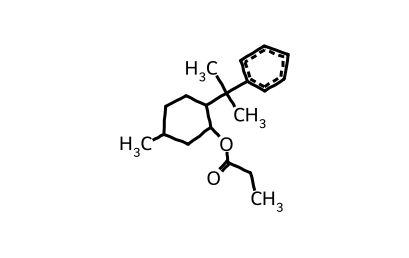 CCC(=O)OC1CC(C)CCC1C(C)(C)c1ccccc1